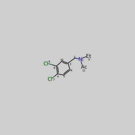 CCN(Cc1ccc(Cl)c(Cl)c1)C(C)=O